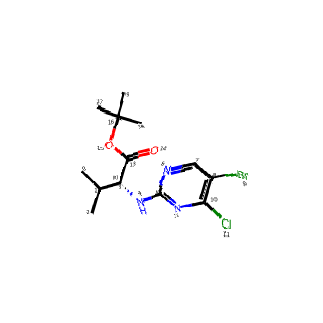 CC(C)[C@@H](Nc1ncc(Br)c(Cl)n1)C(=O)OC(C)(C)C